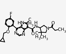 CCC(=O)N1CC(NC(=O)c2c(C)[nH]c3c(-c4cc(F)ccc4OCC4CC4)ncnc23)C(C)(C)C1